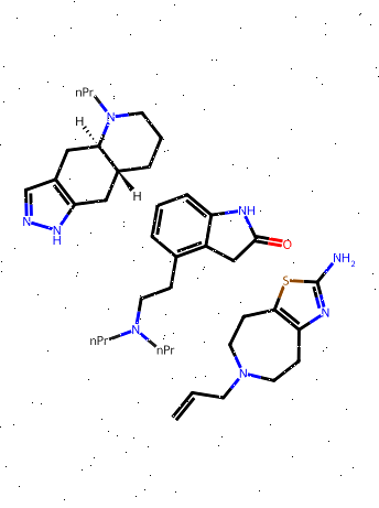 C=CCN1CCc2nc(N)sc2CC1.CCCN(CCC)CCc1cccc2c1CC(=O)N2.CCCN1CCC[C@@H]2Cc3[nH]ncc3C[C@H]21